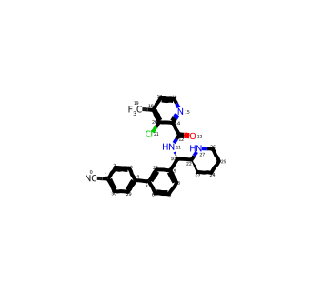 N#Cc1ccc(-c2cccc([C@H](NC(=O)c3nccc(C(F)(F)F)c3Cl)[C@@H]3CCCCN3)c2)cc1